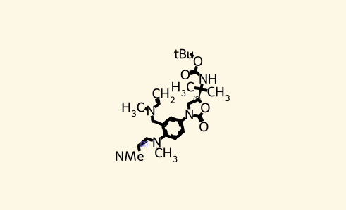 C=CN(C)Cc1cc(N2C[C@@H](C(C)(C)NC(=O)OC(C)(C)C)OC2=O)ccc1N(C)/C=C\NC